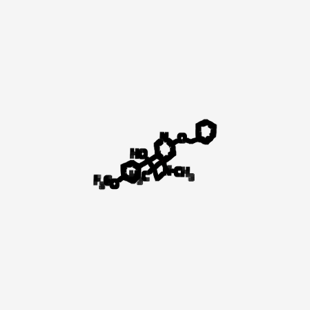 CN1CC(C)(C(O)(c2ccc(OC(F)(F)F)cc2)c2ccc(OCc3ccccc3)nc2)C1